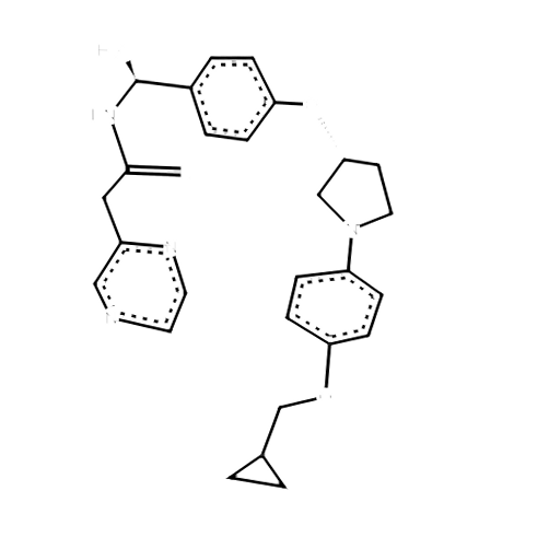 C[C@H](NC(=O)Cc1cnccn1)c1ccc(O[C@@H]2CCN(c3ccc(OCC4CC4)cc3)C2)cc1